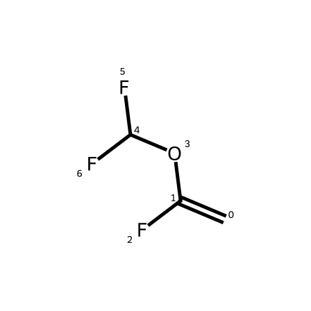 C=C(F)OC(F)F